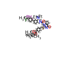 CCN(CC)CCN(Cc1ccc(-c2ccc(C(C)(F)P)cc2)cc1)C(=O)Cn1c(SCc2ccc(B3OC(C)(C)C(C)(C)O3)cc2)nc(=O)c2c1CCC2